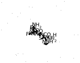 NN=C(C1=NCCCN1)C1=C(C(=O)O)N2C(=O)C(NC(=O)C(=NOCF)c3nsc(N)n3)C2SC1